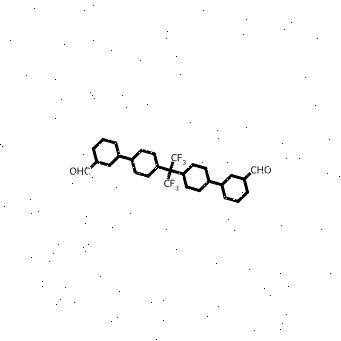 O=CC1CCCC(C2CCC(C(C3CCC(C4CCCC(C=O)C4)CC3)(C(F)(F)F)C(F)(F)F)CC2)C1